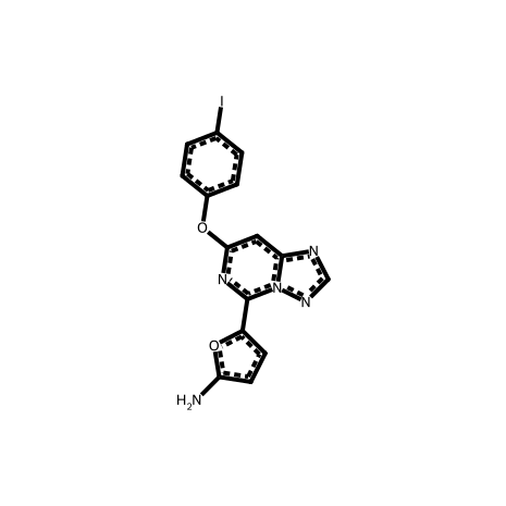 Nc1ccc(-c2nc(Oc3ccc(I)cc3)cc3ncnn23)o1